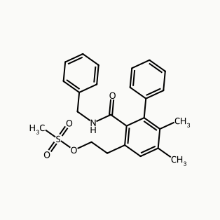 Cc1cc(CCOS(C)(=O)=O)c(C(=O)NCc2ccccc2)c(-c2ccccc2)c1C